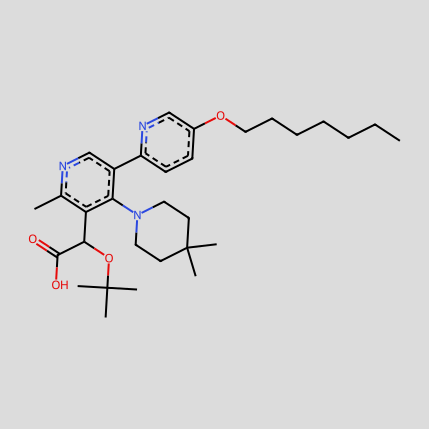 CCCCCCCOc1ccc(-c2cnc(C)c(C(OC(C)(C)C)C(=O)O)c2N2CCC(C)(C)CC2)nc1